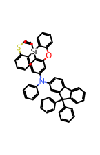 c1ccc(N(c2ccc3c(c2)Oc2ccccc2[Si]32c3ccccc3Sc3ccccc32)c2ccc3c(c2)C(c2ccccc2)(c2ccccc2)c2ccccc2-3)cc1